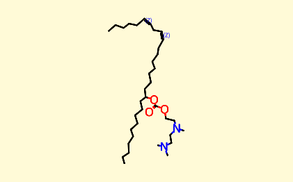 CCCCC/C=C\C/C=C\CCCCCCCC(CCCCCCCCCC)OC(=O)OCCN(C)CCN(C)C